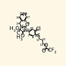 CC1(C)C(=O)N(c2ccc(SCCCOC(=O)C(F)(F)F)c(Cl)c2)C(=O)N1Cc1ccncc1